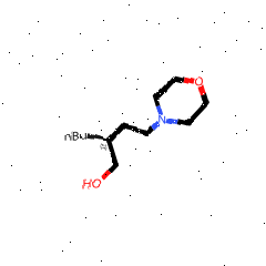 CCCC[C@H](CO)CCN1CCOCC1